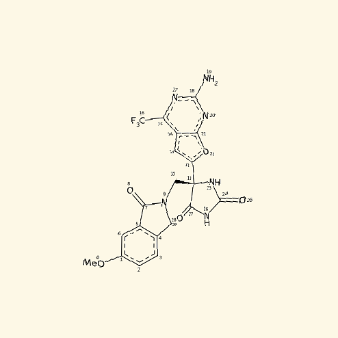 COc1ccc2c(c1)C(=O)N(C[C@@]1(c3cc4c(C(F)(F)F)nc(N)nc4o3)NC(=O)NC1=O)C2